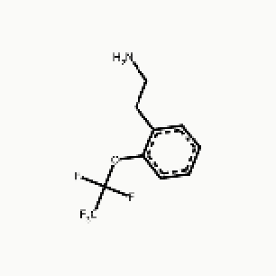 NCCc1ccccc1OC(F)(F)C(F)(F)F